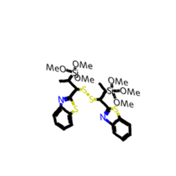 CO[Si](OC)(OC)C(C)C(SSC(c1nc2ccccc2s1)C(C)[Si](OC)(OC)OC)c1nc2ccccc2s1